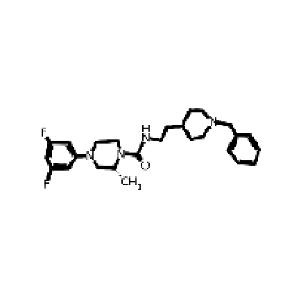 C[C@@H]1CN(c2cc(F)cc(F)c2)CCN1C(=O)NCCC1CCN(Cc2ccccc2)CC1